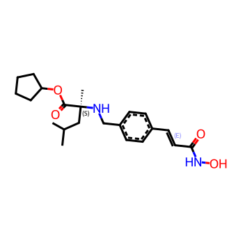 CC(C)C[C@](C)(NCc1ccc(/C=C/C(=O)NO)cc1)C(=O)OC1CCCC1